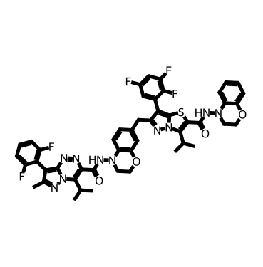 Cc1nn2c(C(C)C)c(C(=O)NN3CCOc4cc(Cc5nn6c(C(C)C)c(C(=O)NN7CCOc8ccccc87)sc6c5-c5cc(F)cc(F)c5F)ccc43)nnc2c1-c1c(F)cccc1F